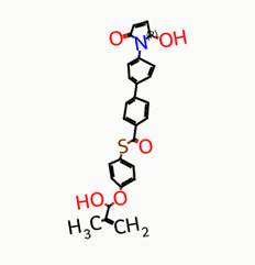 C=C(C)C(O)Oc1ccc(SC(=O)c2ccc(-c3ccc(N4C(=O)C=C[C@H]4O)cc3)cc2)cc1